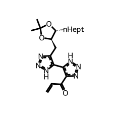 C=CC(=O)c1nn[nH]c1-c1[nH]nnc1C[C@H]1OC(C)(C)O[C@@H]1CCCCCCC